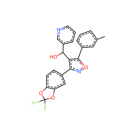 Cc1cccc(-c2onc(-c3ccc4c(c3)OC(F)(F)O4)c2C(O)c2cccnc2)c1